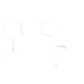 CC(C)(C)OC(=O)N1CCC(Oc2ccnc(C(=O)O)c2)C1